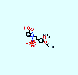 CCOc1ccc(/C=C/c2nc3c(C(=O)O)cccc3[nH]2)cc1OC.O=P(O)(O)O